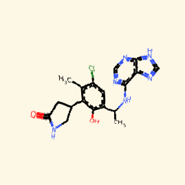 Cc1c(Cl)cc(C(C)Nc2ncnc3[nH]cnc23)c(O)c1C1CNC(=O)C1